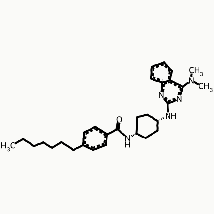 CCCCCCCc1ccc(C(=O)N[C@H]2CC[C@@H](Nc3nc(N(C)C)c4ccccc4n3)CC2)cc1